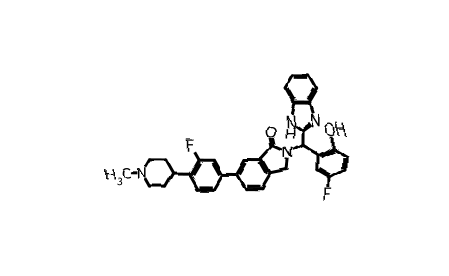 CN1CCC(c2ccc(-c3ccc4c(c3)C(=O)N(C(c3nc5ccccc5[nH]3)c3cc(F)ccc3O)C4)cc2F)CC1